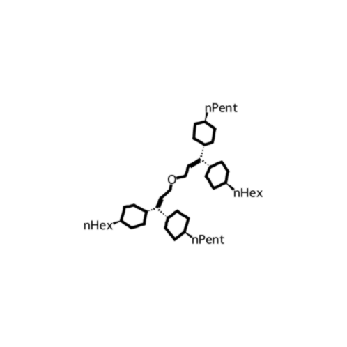 CCCCCC[C@H]1CC[C@H](C(=CCOCC=C([C@H]2CC[C@H](CCCCC)CC2)[C@H]2CC[C@H](CCCCCC)CC2)[C@H]2CC[C@H](CCCCC)CC2)CC1